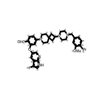 COc1cc(CN2CCN(C3CC4(CCN(c5ccc(C=O)c(Oc6cnc7[nH]cc(F)c7c6)c5)CC4)C3)CC2)ccc1C(C)C